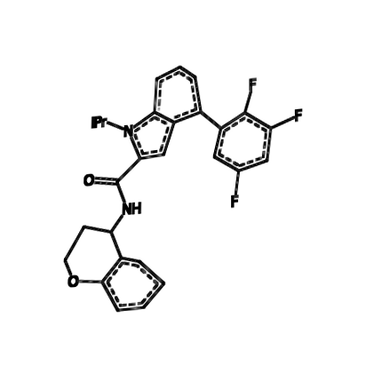 CC(C)n1c(C(=O)NC2CCOc3ccccc32)cc2c(-c3cc(F)cc(F)c3F)cccc21